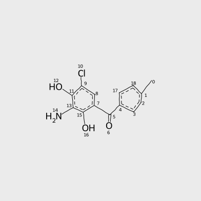 Cc1ccc(C(=O)c2cc(Cl)c(O)c(N)c2O)cc1